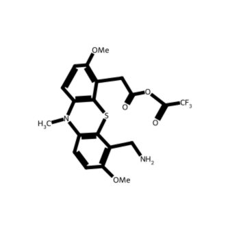 COc1ccc2c(c1CN)Sc1c(ccc(OC)c1CC(=O)OC(=O)C(F)(F)F)N2C